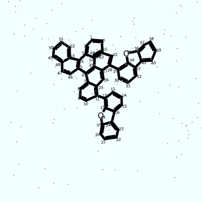 c1ccc(-c2c(-c3c4cccc(-c5cccc6c5oc5ccccc56)c4cc4c(-c5cccc6c5oc5ccccc56)cccc34)ccc3ccccc23)cc1